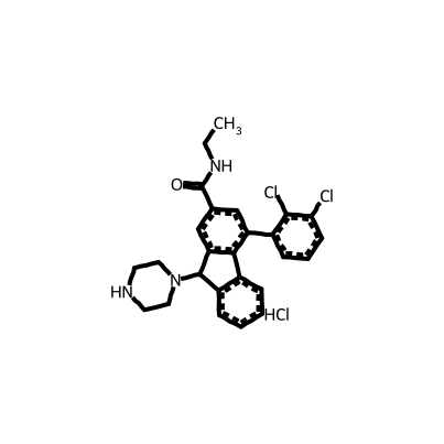 CCNC(=O)c1cc(-c2cccc(Cl)c2Cl)c2c(c1)C(N1CCNCC1)c1ccccc1-2.Cl